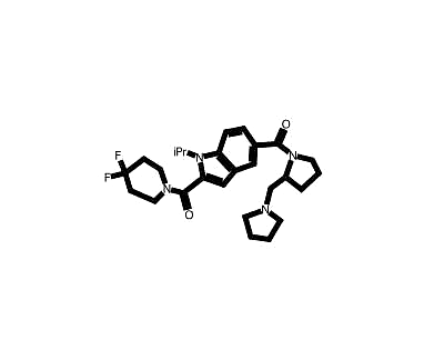 CC(C)n1c(C(=O)N2CCC(F)(F)CC2)cc2cc(C(=O)N3CCCC3CN3CCCC3)ccc21